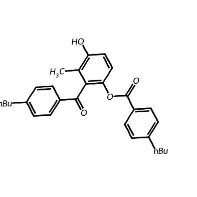 CCCCc1ccc(C(=O)Oc2ccc(O)c(C)c2C(=O)c2ccc(CCCC)cc2)cc1